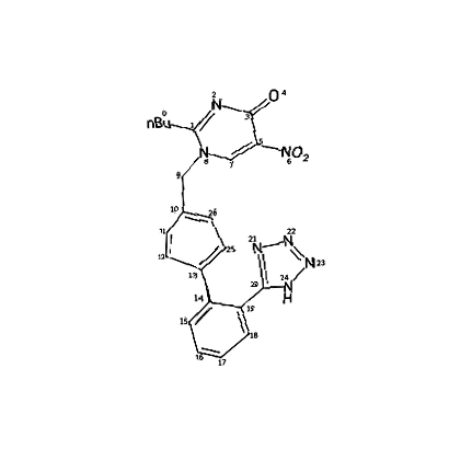 CCCCc1nc(=O)c([N+](=O)[O-])cn1Cc1ccc(-c2ccccc2-c2nnn[nH]2)cc1